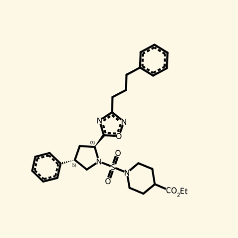 CCOC(=O)C1CCN(S(=O)(=O)N2C[C@H](c3ccccc3)C[C@H]2c2nc(CCCc3ccccc3)no2)CC1